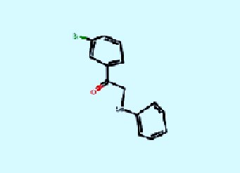 O=C(C[Se]c1ccccc1)c1cccc(Br)c1